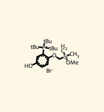 CO[Si](C)(C)COc1ccc(O)cc1[P+](C(C)(C)C)(C(C)(C)C)C(C)(C)C.[Br-]